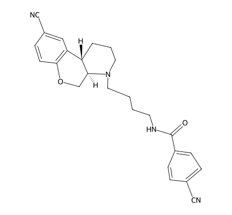 N#Cc1ccc(C(=O)NCCCCN2CCC[C@H]3c4cc(C#N)ccc4OC[C@@H]32)cc1